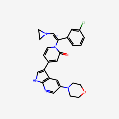 O=c1cc(-c2c[nH]c3ncc(N4CCOCC4)cc23)ccn1/C(=C\N1CC1)c1cccc(Cl)c1